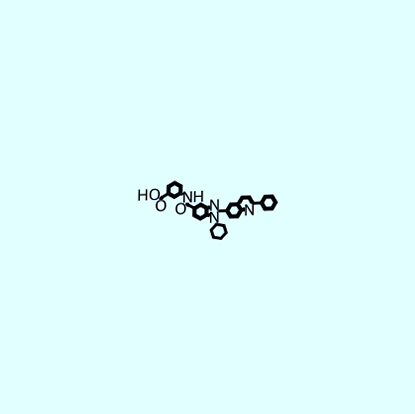 O=C(O)c1cccc(NC(=O)c2ccc3c(c2)nc(-c2ccc4nc(-c5ccccc5)ccc4c2)n3C2CCCCC2)c1